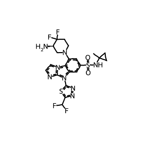 CC1(NS(=O)(=O)c2cc(N3CCC(F)(F)[C@H](N)C3)c3c(c2)n(-c2nnc(C(F)F)s2)c2nccn32)CC1